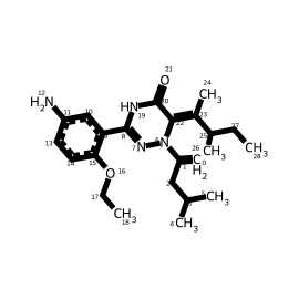 C=C(CC(C)C)N1N=C(c2cc(N)ccc2OCC)NC(=O)/C1=C(\C)C(C)CC